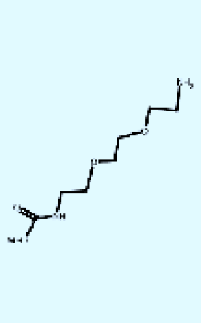 COC(=O)NCCOCCOCCN